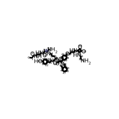 CCC(=O)NCCNC(=O)/N=C(/N)NCCC[C@@H](NC(=O)[C@H](c1ccc(OCCCNc2c(NCCN)c(=O)c2=O)cc1)N1Cc2ccccc2C1)C(=O)NCc1ccc(O)cc1